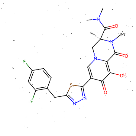 CC(C)N1C(=O)c2c(O)c(=O)c(-c3nnc(Cc4ccc(F)cc4F)s3)cn2C[C@@]1(C)C(=O)N(C)C